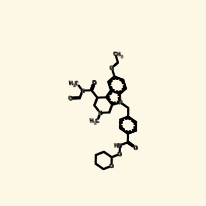 CCOc1ccc2c(c1)c1c(n2Cc2ccc(C(=O)NOC3CCCCO3)cc2)CN(C)CC1C(=O)N(C)C=O